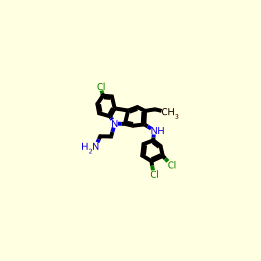 CCc1cc2c3cc(Cl)ccc3n(CCN)c2cc1Nc1ccc(Cl)c(Cl)c1